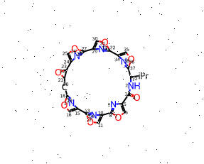 CC(C)C1NC(=O)c2coc(n2)-c2coc(n2)-c2coc(n2)CC2OC2c2coc(n2)-c2coc(n2)-c2coc1n2